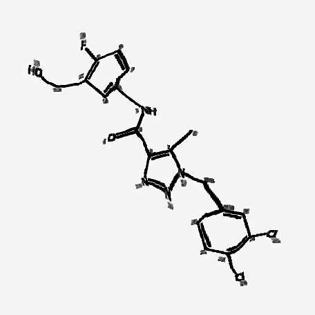 Cc1c(C(=O)Nc2ccc(F)c(CO)c2)nnn1Cc1ccc(Cl)c(Cl)c1